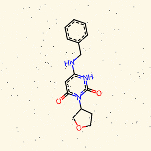 O=c1cc(NCc2ccccc2)[nH]c(=O)n1C1CCOC1